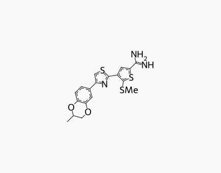 CSc1sc(C(=N)N)cc1-c1nc(-c2ccc3c(c2)OCC(C)O3)cs1